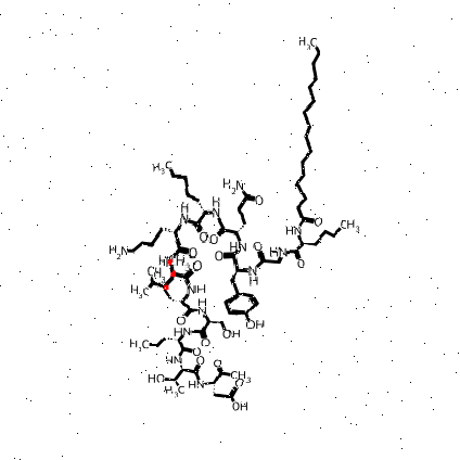 CCCCCCCCCCCCCCCC(=O)N[C@@H](CCCC)C(=O)NCC(=O)N[C@@H](Cc1ccc(O)cc1)C(=O)N[C@@H](CCC(N)=O)C(=O)N[C@@H](CCCCC)C(=O)N[C@@H](CCCCN)C(=O)N[C@@H](CC(C)C)C(=O)N[C@@H](CCCC)C(=O)N[C@@H](CO)C(=O)N[C@@H](CCC)C(=O)N[C@H](C(=O)N[C@@H](CC(=O)O)C(C)=O)[C@@H](C)O